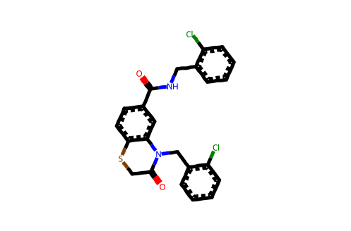 O=C(NCc1ccccc1Cl)c1ccc2c(c1)N(Cc1ccccc1Cl)C(=O)CS2